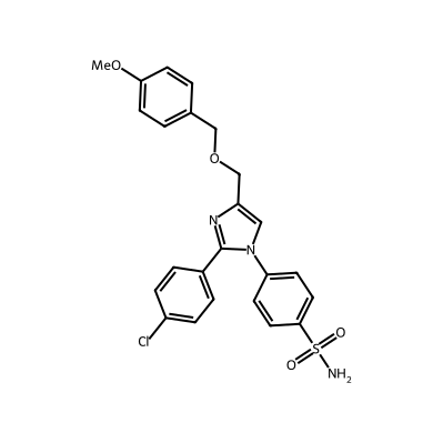 COc1ccc(COCc2cn(-c3ccc(S(N)(=O)=O)cc3)c(-c3ccc(Cl)cc3)n2)cc1